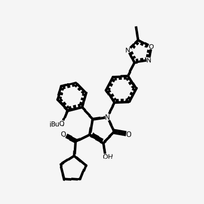 Cc1nc(-c2ccc(N3C(=O)C(O)=C(C(=O)C4CCCC4)C3c3ccccc3OCC(C)C)cc2)no1